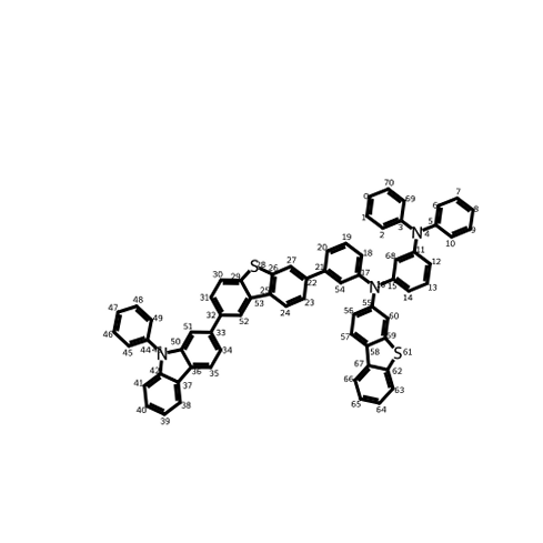 c1ccc(N(c2ccccc2)c2cccc(N(c3cccc(-c4ccc5c(c4)sc4ccc(-c6ccc7c8ccccc8n(-c8ccccc8)c7c6)cc45)c3)c3ccc4c(c3)sc3ccccc34)c2)cc1